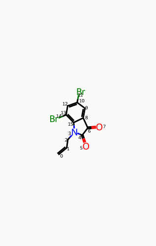 C=CCN1C(=O)C(=O)c2cc(Br)cc(Br)c21